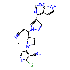 N#CCC(C1CCN(c2ccnc(Cl)c2C#N)C1)n1cc(-c2ncnc3[nH]ccc23)cn1